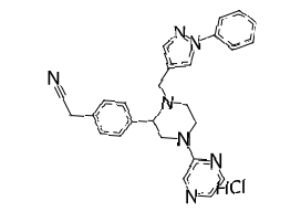 Cl.N#CCc1ccc(C2CN(c3cnccn3)CCN2Cc2cnn(-c3ccccc3)c2)cc1